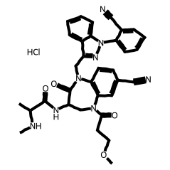 CNC(C)C(=O)NC1CN(C(=O)CCOC)c2cc(C#N)ccc2N(Cc2nn(-c3ccccc3C#N)c3ccccc23)C1=O.Cl